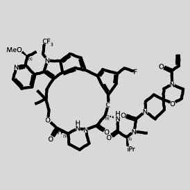 C=CC(=O)N1CCOC2(CCN(C(=O)N(C)[C@H](C(=O)N[C@H]3Cc4cc(CF)cc(c4)-c4ccc5c(c4)c(c(-c4cccnc4[C@H](C)OC)n5CC(F)(F)F)CC(C)(C)COC(=O)[C@@H]4CCCN(N4)C3=O)C(C)C)CC2)C1